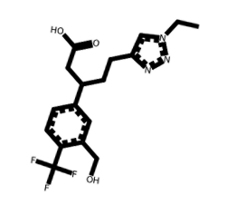 CCn1cc(CCC(CC(=O)O)c2ccc(C(F)(F)F)c(CO)c2)nn1